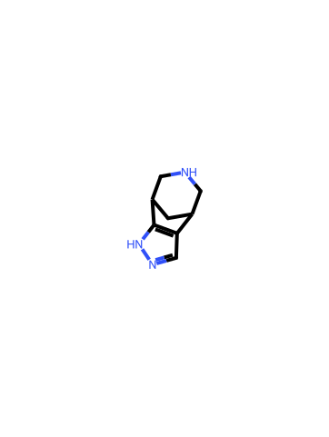 c1n[nH]c2c1C1CNCC2C1